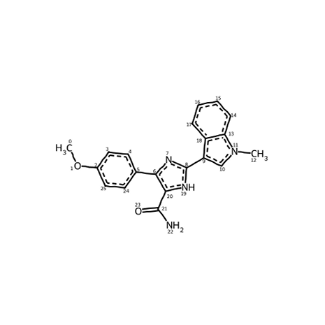 COc1ccc(-c2nc(-c3cn(C)c4ccccc34)[nH]c2C(N)=O)cc1